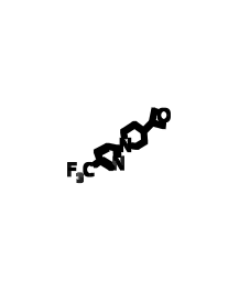 FC(F)(F)c1ccc(N2CCC(C3COC3)CC2)nc1